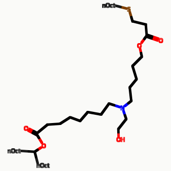 CCCCCCCCSCCC(=O)OCCCCCN(CCO)CCCCCCCC(=O)OC(CCCCCCCC)CCCCCCCC